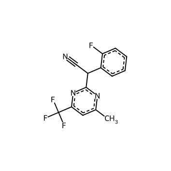 Cc1cc(C(F)(F)F)nc(C(C#N)c2ccccc2F)n1